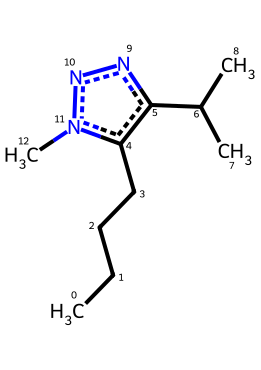 CCCCc1c(C(C)C)nnn1C